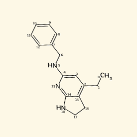 CCc1cc(NCc2ccccc2)nc2c1CCN2